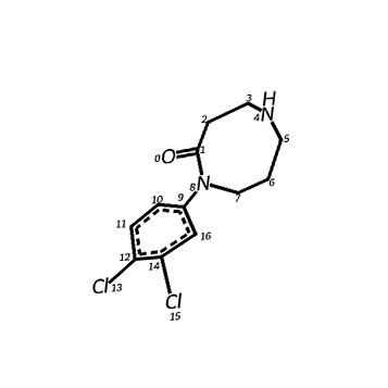 O=C1CCNCCCN1c1ccc(Cl)c(Cl)c1